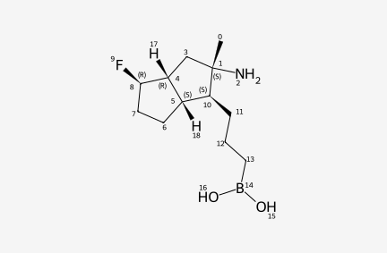 C[C@]1(N)C[C@@H]2[C@@H](CC[C@H]2F)[C@@H]1CCCB(O)O